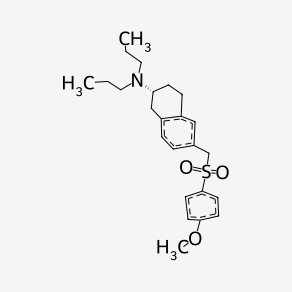 CCCN(CCC)[C@@H]1CCc2cc(CS(=O)(=O)c3ccc(OC)cc3)ccc2C1